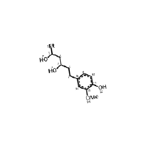 CCC(O)CC(O)CCc1ccc(O)c(OC)c1